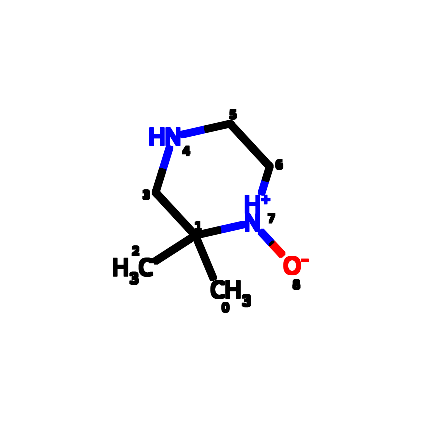 CC1(C)CNCC[NH+]1[O-]